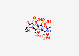 CCNC(=O)[C@H](CS(=O)(=O)O)NC(=O)[C@H](CS(=O)(=O)O)NC(=O)[C@H](CS(=O)(=O)O)NC(=O)[C@H](CS(=O)(=O)O)NC(=O)CS